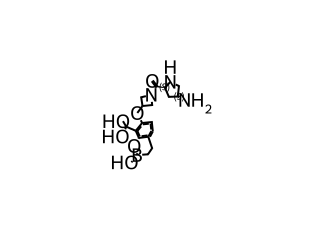 N[C@@H]1CN[C@H](C(=O)N2CC(Oc3ccc4c(c3C(O)O)OB(O)CC4)C2)C1